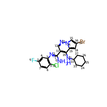 N/C(=N\c1cc(F)ccc1Cl)c1cnn2cc(Br)cc2c1NC1CCCCC1